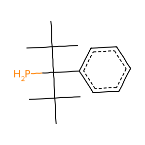 CC(C)(C)C(P)(c1ccccc1)C(C)(C)C